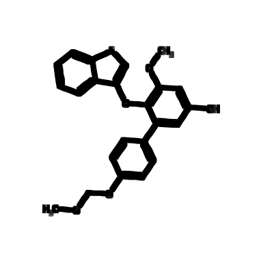 COCOc1ccc(-c2cc(O)cc(OC)c2Oc2csc3ccccc23)cc1